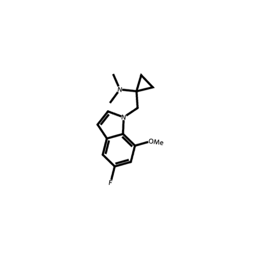 COc1cc(F)cc2ccn(CC3(N(C)C)CC3)c12